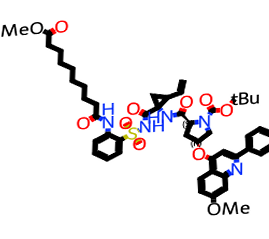 C=CC1CC1(NC(=O)[C@@H]1C[C@@H](Oc2cc(-c3ccccc3)nc3cc(OC)ccc23)CN1C(=O)OC(C)(C)C)C(=O)NS(=O)(=O)c1ccccc1NC(=O)CCCCCCCCC(=O)OC